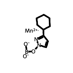 [Mn+2].[O-]B([O-])On1ccc(C2CCCCC2)n1